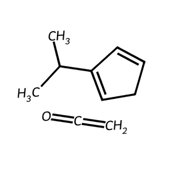 C=C=O.CC(C)C1=CCC=C1